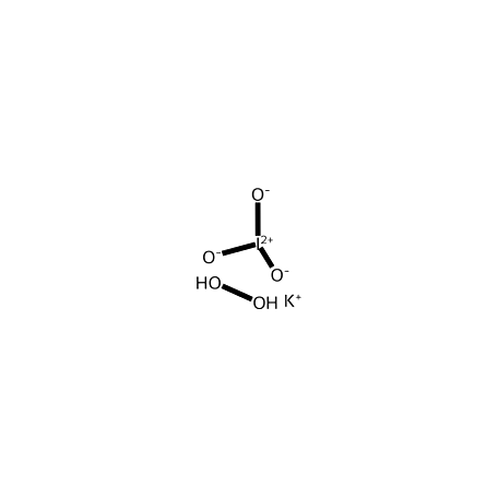 OO.[K+].[O-][I+2]([O-])[O-]